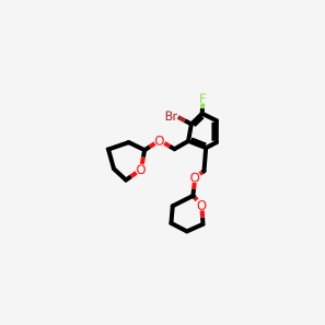 Fc1ccc(COC2CCCCO2)c(COC2CCCCO2)c1Br